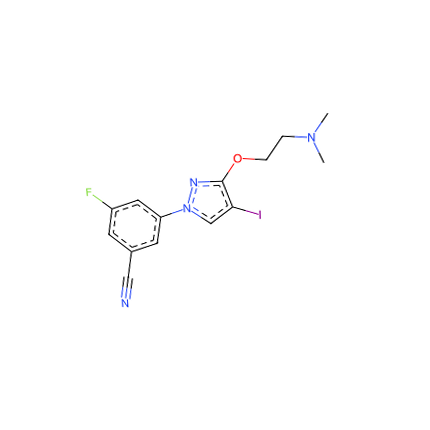 CN(C)CCOc1nn(-c2cc(F)cc(C#N)c2)cc1I